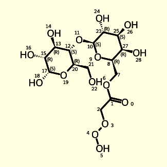 O=C(COOO)OC[C@H]1O[C@@H](O[C@H]2[C@H](O)[C@@H](O)[C@@H](O)O[C@@H]2CO)[C@H](O)[C@@H](O)[C@H]1O